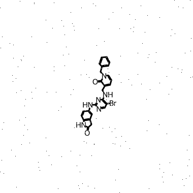 O=C1Cc2cc(Nc3ncc(Br)c(NCc4cccn(Cc5ccccc5)c4=O)n3)ccc2N1